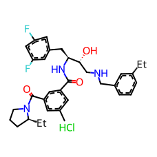 CCc1cccc(CNC[C@@H](O)[C@H](Cc2cc(F)cc(F)c2)NC(=O)c2cc(C)cc(C(=O)N3CCC[C@@H]3CC)c2)c1.Cl